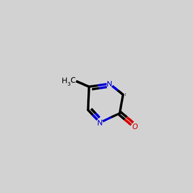 CC1=N[C]C(=O)N=C1